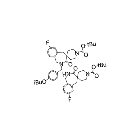 CC(C)(C)OC(=O)N1CCC2(CC1)Cc1cc(F)ccc1CNC2=O.CC(C)COc1ccc(CN2Cc3ccc(F)cc3CC3(CCN(C(=O)OC(C)(C)C)CC3)C2=O)cc1